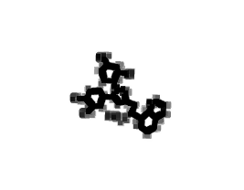 O=C(O)C(Cc1cc(-c2ccc(Cl)c(Cl)c2)n(-c2ccc(Cl)cc2Cl)n1)c1cccc2cccnc12